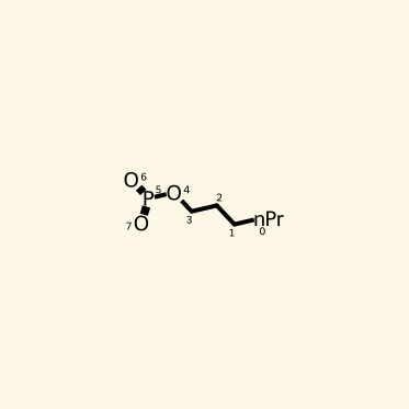 CCCCCCOP(=O)=O